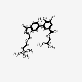 Cc1c(F)cc(C(=O)OCC(C)C)cc1-c1ccc2c(I)nn(COCC[Si](C)(C)C)c2c1